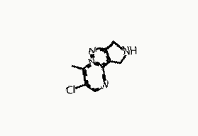 Cc1c(Cl)cnc2c3c(nn12)CNC3